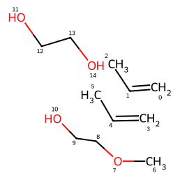 C=CC.C=CC.COCCO.OCCO